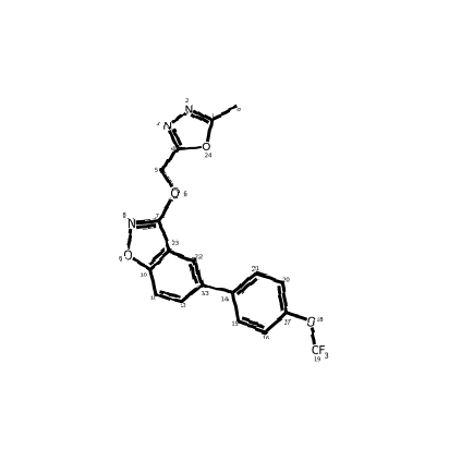 Cc1nnc(COc2noc3ccc(-c4ccc(OC(F)(F)F)cc4)cc23)o1